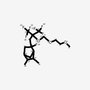 COCCOCOC(CC1(F)CC2CC1C(C)C2C)(C(F)(F)F)C(F)(F)F